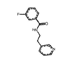 O=C(NCCc1cccnc1)c1cccc(F)c1